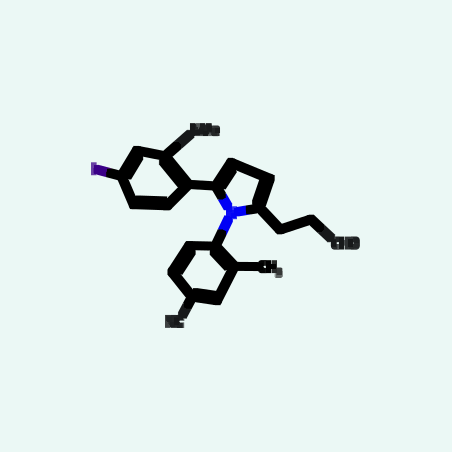 CNc1cc(I)ccc1-c1ccc(CCC=O)n1-c1ccc(C#N)cc1C